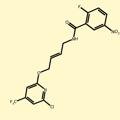 O=C(NCC=CCOc1cc(C(F)(F)F)cc(Cl)n1)c1cc([N+](=O)[O-])ccc1F